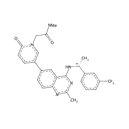 CNC(=O)Cn1cc(-c2ccc3nc(C)nc(N[C@H](C)c4cccc(C(F)(F)F)c4)c3c2)ccc1=O